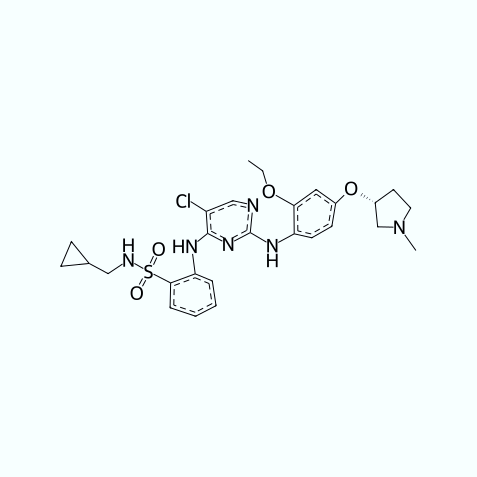 CCOc1cc(O[C@@H]2CCN(C)C2)ccc1Nc1ncc(Cl)c(Nc2ccccc2S(=O)(=O)NCC2CC2)n1